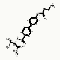 C[C@@H](O)[C@H](NC(=O)c1ccc(-c2ccc(NC(=O)CCN)cc2)cc1)C(=O)NO